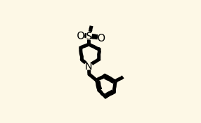 Cc1cccc(CN2CCC(S(C)(=O)=O)CC2)c1